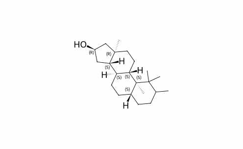 CC1CC[C@@H]2CC[C@H]3[C@@H]4C[C@@H](O)C[C@@]4(C)CC[C@@H]3[C@@]2(C)C1(C)C